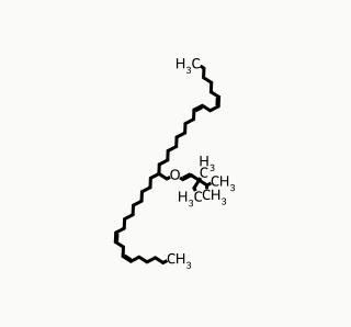 CCCCC/C=C\C/C=C\CCCCCCCCC(CCCCCCCC/C=C\C/C=C\CCCCC)CO/C=C/C(C)(CC)C(C)C